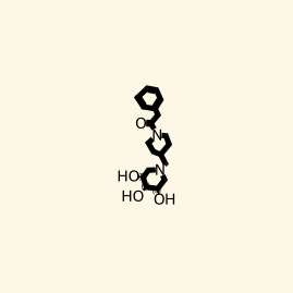 O=C(Cc1ccccc1)N1CCC(CN2C[C@@H](O)[C@H](O)[C@@H](O)C2)CC1